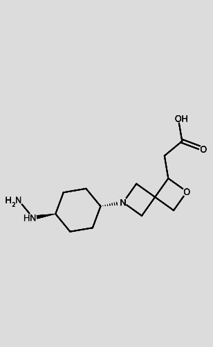 NN[C@H]1CC[C@H](N2CC3(COC3CC(=O)O)C2)CC1